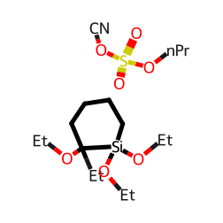 CCCOS(=O)(=O)OC#N.CCOC1(CC)CCCC[Si]1(OCC)OCC